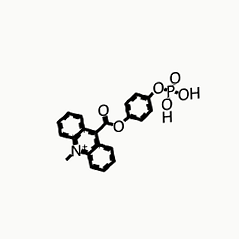 C[n+]1c2ccccc2c(C(=O)Oc2ccc(OP(=O)(O)O)cc2)c2ccccc21